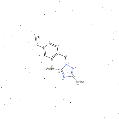 C=Cc1ccc(Cn2nc(NC(C)=O)nc2NC(C)=O)cc1